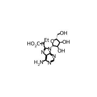 CCN(C(=O)O)c1nc2c(N)ncnc2n1[C@@H]1O[C@H](CO)[C@@H](O)[C@H]1O